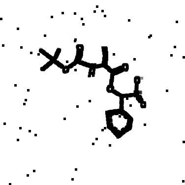 C=C(NC(=O)OC(C)(C)C)C(=O)OC(c1ccccc1)[N+](=O)[O-]